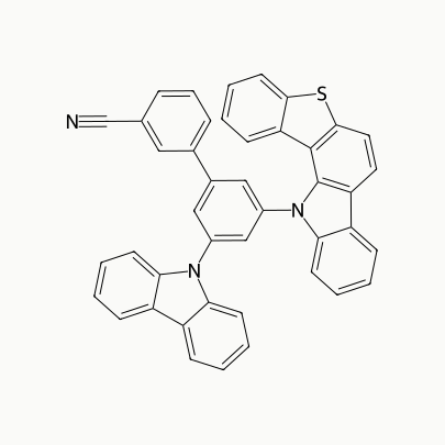 N#Cc1cccc(-c2cc(-n3c4ccccc4c4ccccc43)cc(-n3c4ccccc4c4ccc5sc6ccccc6c5c43)c2)c1